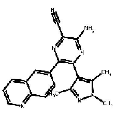 Cc1nn(C)c(C)c1-c1nc(N)c(C#N)nc1-c1ccc2ncccc2c1